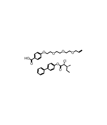 C=CCOCCOCCOCCOc1ccc(C(=O)O)cc1.CC[C@H](C)[C@H](Cl)C(=O)Oc1ccc(-c2ccccc2)cc1